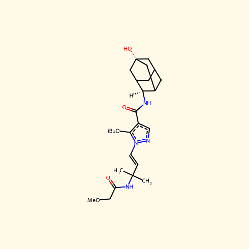 COCC(=O)NC(C)(C)/C=C/n1ncc(C(=O)N[C@H]2C3CC4CC2C[C@](O)(C4)C3)c1OCC(C)C